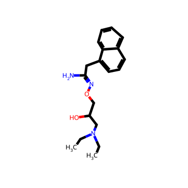 CCN(CC)CC(O)CON=C(N)Cc1cccc2ccccc12